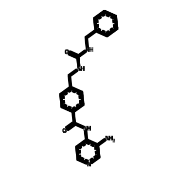 Nc1cnccc1NC(=O)c1ccc(CNC(=O)NCc2ccccc2)cc1